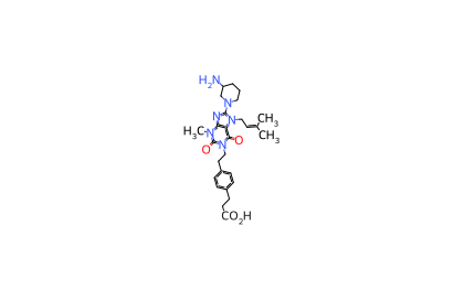 CC(C)=CCn1c(N2CCCC(N)C2)nc2c1c(=O)n(CCc1ccc(CCC(=O)O)cc1)c(=O)n2C